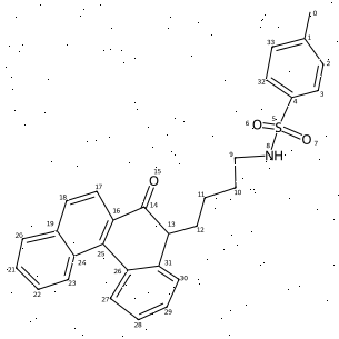 Cc1ccc(S(=O)(=O)NCCCCC2C(=O)c3ccc4ccccc4c3-c3ccccc32)cc1